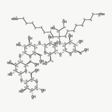 CCCCCCCCCCCCCCCCCCC(CCCCCCCCCCCCCCCCCC)(O[C@H]1[C@@H](O[C@H]2[C@H](O)[C@@H](O)[C@@H](O[C@H]3[C@H](O)[C@@H](O)[C@@H](O[C@H]4[C@H](O)[C@@H](O)[C@@H](O[C@H]5[C@H](O)[C@@H](O)[C@@H](O)O[C@@H]5CO)O[C@@H]4CO)O[C@@H]3CO)O[C@@H]2CO)O[C@H](CO)[C@@H](O)[C@@H]1O)C(O)CO